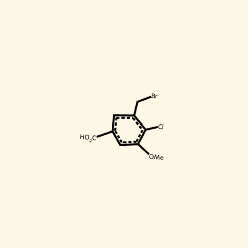 COc1cc(C(=O)O)cc(CBr)c1Cl